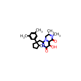 Cc1cc(C)cc(C2(Cc3nc(=O)c(O)c4n3C[C@H](C)N(C)C4=O)CCCC2C)c1